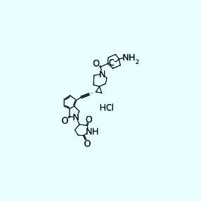 Cl.NC12CCC(C(=O)N3CCC4(CC3)C[C@@H]4C#Cc3cccc4c3CN(C3CCC(=O)NC3=O)C4=O)(CC1)CC2